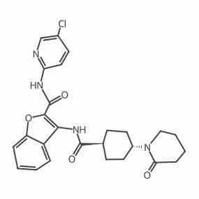 O=C(Nc1ccc(Cl)cn1)c1oc2ccccc2c1NC(=O)[C@H]1CC[C@H](N2CCCCC2=O)CC1